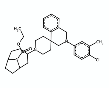 CCOC(=O)N1C2CCC(N3CCC4(CC3)CN(c3ccc(Cl)c(C)c3)Cc3ccccc34)CC1CC2